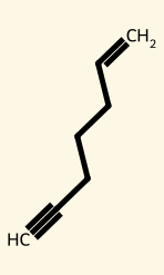 C#CCCCC=C